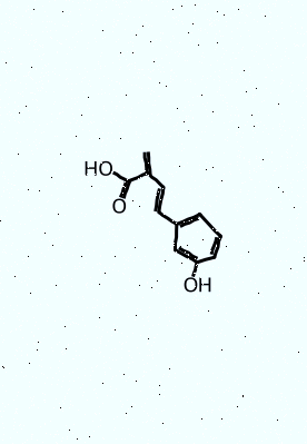 C=C(C=Cc1cccc(O)c1)C(=O)O